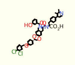 Cc1nccc(-c2ccc(CC(NC(=O)[C@@H]3Cc4cc5c(cc4CN3C(=O)c3cccc(O)c3)O[C@@H](c3ccc(OCc4ccc(Cl)c(Cl)c4)cc3)CO5)C(=O)O)cc2)c1C